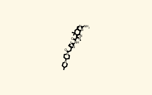 CC1CCN(C2CCN(C(=O)Cc3csc(NC(=O)c4c5c(nn4C)-c4nc(N)ncc4CC5(C)C)n3)CC2)CC1